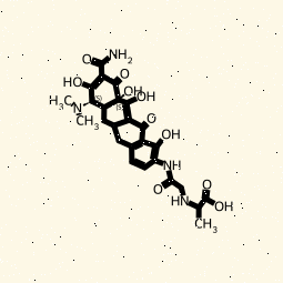 CC(NCC(=O)Nc1ccc2c(c1O)C(=O)C1=C(O)[C@]3(O)C(=O)C(C(N)=O)=C(O)[C@@H](N(C)C)C3CC1C2)C(=O)O